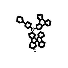 Fc1ccc2c(c1)C1(c3ccccc3-c3ccccc31)c1cc(N(c3ccc(-c4ccccc4)cc3)c3ccc4c5ccccc5c5ccccc5c4c3)ccc1-2